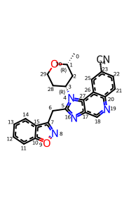 C[C@@H]1C[C@H](n2c(Cc3noc4ccccc34)nc3cnc4ccc(C#N)cc4c32)CCO1